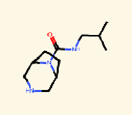 CC(C)CNC(=O)N1C2CCC1CNC2